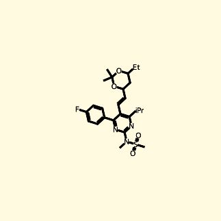 CCC1CC(/C=C/c2c(-c3ccc(F)cc3)nc(N(C)S(C)(=O)=O)nc2C(C)C)OC(C)(C)O1